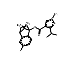 Cn1cc(C(=O)OC23CCC(c4cc(F)ccc42)C3(C)C)c(C(F)F)n1